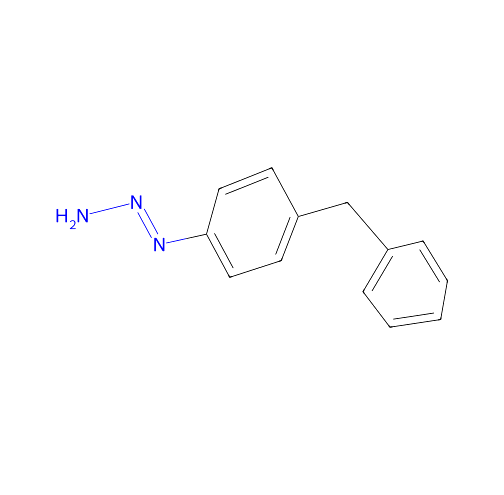 NN=Nc1ccc(Cc2ccccc2)cc1